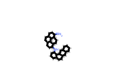 Nc1ccc2ccc3ccc(Nc4cccc5ccc6cc7ccccc7cc6c45)c4ccc1c2c34